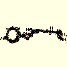 CO[C@H]1C[C@@H]2CC[C@@H](C)[C@@](O)(O2)C(=O)C(=O)N2CCCC[C@H]2C(=O)OC([C@H](C)C[C@@H]2CC[C@@H](OCc3cccc(-c4cnc(N5CCN(Cc6cn(CCOCCOCCOCCC(=O)NCCCCn7nc(-c8ccc9oc(N)nc9c8)c8c(N)ncnc87)nn6)C(CO)C5)nc4)c3)[C@H](OC)C2)CC(=O)[C@H](C)/C=C(\C)[C@@H](O)[C@@H](O)C(=O)[C@H](C)C[C@H](C)/C=C/C=C/C=C/1C